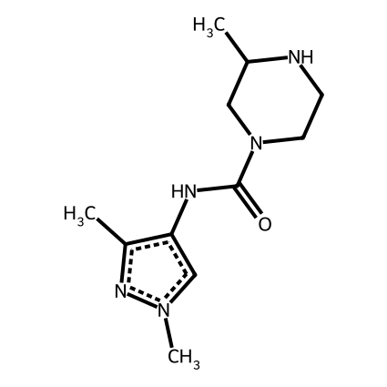 Cc1nn(C)cc1NC(=O)N1CCNC(C)C1